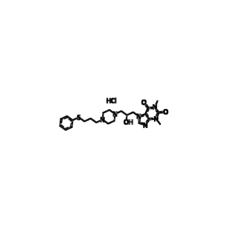 Cl.Cn1c(=O)c2c(ncn2CC(O)CN2CCN(CCCSc3ccccc3)CC2)n(C)c1=O